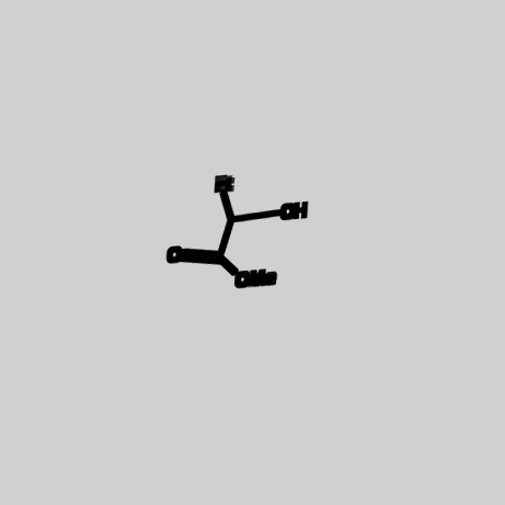 [CH2]CC(O)C(=O)OC